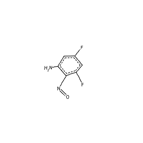 Nc1cc(F)cc(F)c1N=O